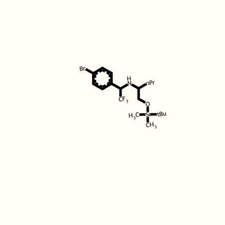 CCCC(CO[Si](C)(C)C(C)(C)C)NC(c1ccc(Br)cc1)C(F)(F)F